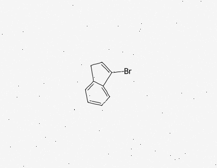 BrC1=CCc2ccccc21